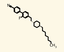 CCCCCCCC[C@H]1CC[C@H](CCc2ccc(-c3ccc(C#N)cc3)c(F)c2)CC1